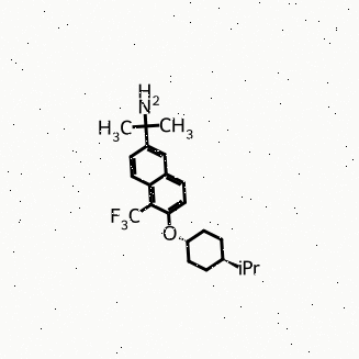 CC(C)[C@H]1CC[C@H](Oc2ccc3cc(C(C)(C)N)ccc3c2C(F)(F)F)CC1